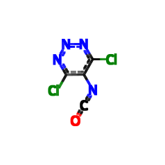 O=C=Nc1c(Cl)nnnc1Cl